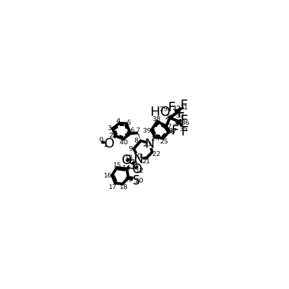 COc1cccc(C[C@H]2CN(S(=O)(=O)C3=CC=CCC3=S)CCN2c2ccc(C(O)(C(F)(F)F)C(F)(F)F)cc2)c1